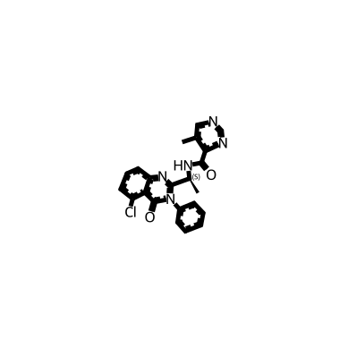 Cc1cncnc1C(=O)N[C@@H](C)c1nc2cccc(Cl)c2c(=O)n1-c1ccccc1